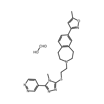 Cc1cc(-c2ccc3c(c2)CCN(CCSc2nnc(-c4ccnnc4)n2C)CC3)no1.O=CO